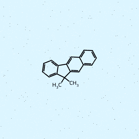 CC1(C)c2cc3ccccc3[c]c2-c2ccccc21